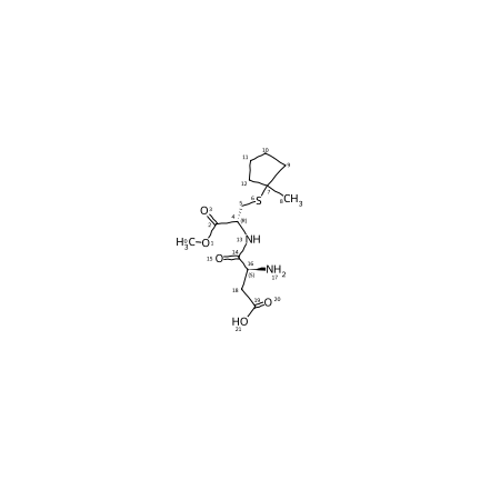 COC(=O)[C@H](CSC1(C)CCCC1)NC(=O)[C@@H](N)CC(=O)O